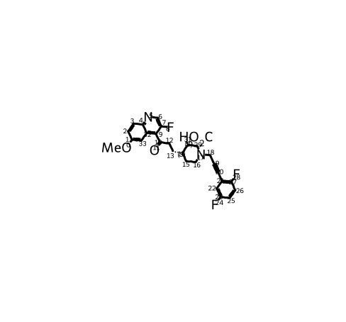 COc1ccc2ncc(F)c(C(=O)CC[C@H]3CCN(CC#Cc4cc(F)ccc4F)C[C@H]3C(=O)O)c2c1